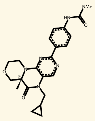 CNC(=O)Nc1ccc(-c2ncc3c(n2)N2CCOC[C@@]2(C)C(=O)N3CC2CC2)cc1